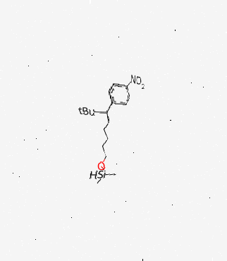 C[SiH](C)OCCCCCC(c1ccc([N+](=O)[O-])cc1)C(C)(C)C